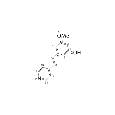 COc1cc(O)cc(/C=C/c2ccncc2)c1